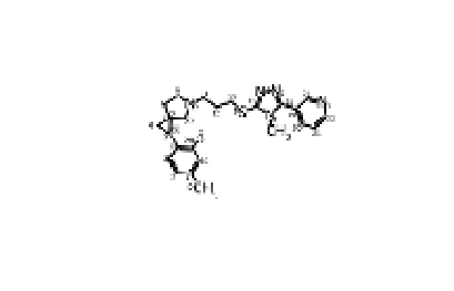 Cc1ccc([C@H]2C[C@]23CCN(CCCSc2nnc(-c4cccnc4)n2C)C3)c(F)c1